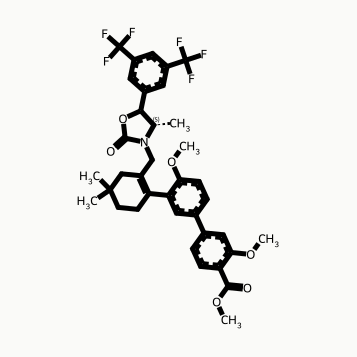 COC(=O)c1ccc(-c2ccc(OC)c(C3=C(CN4C(=O)OC(c5cc(C(F)(F)F)cc(C(F)(F)F)c5)[C@@H]4C)CC(C)(C)CC3)c2)cc1OC